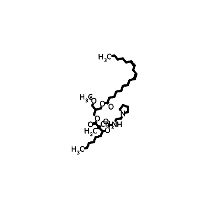 CCCCC/C=C\C/C=C\CCCCCCCC(=O)OCC(COC)COC(=O)C(C)(C)C(CCCCCC)OC(=O)NCCN1CCCC1